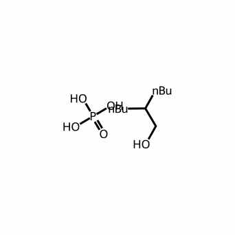 CCCCC(CO)CCCC.O=P(O)(O)O